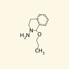 CCCOC1c2ccccc2CCN1N